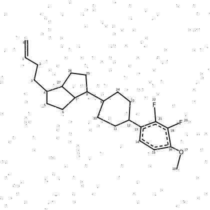 C=CCCC1CCC2C(C3CCC(c4ccc(OC)c(F)c4F)CC3)CCC12